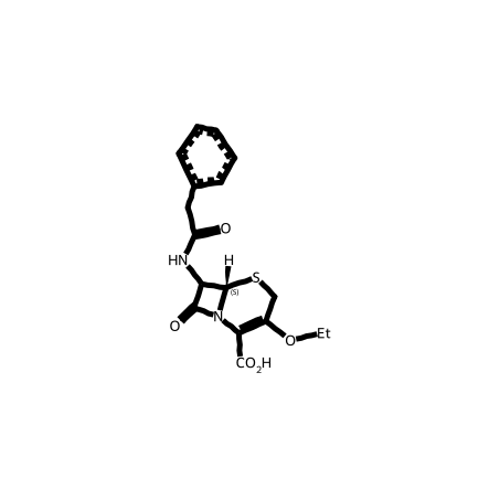 CCOC1=C(C(=O)O)N2C(=O)C(NC(=O)Cc3ccccc3)[C@@H]2SC1